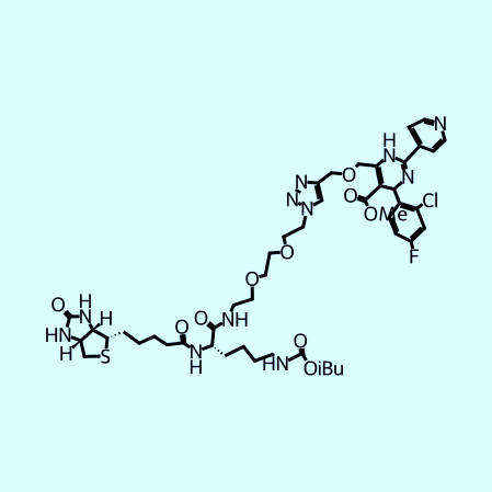 COC(=O)C1=C(COCc2cn(CCOCCOCCNC(=O)[C@H](CCCCNC(=O)OCC(C)C)NC(=O)CCCC[C@@H]3SC[C@@H]4NC(=O)N[C@@H]43)nn2)NC(c2ccncc2)=NC1c1ccc(F)cc1Cl